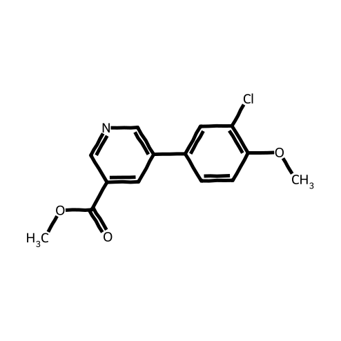 COC(=O)c1cncc(-c2ccc(OC)c(Cl)c2)c1